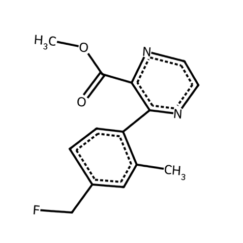 COC(=O)c1nccnc1-c1ccc(CF)cc1C